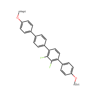 CCCCCCCCOc1ccc(-c2ccc(-c3ccc(-c4ccc(OCCCCCCC)cc4)cc3)c(F)c2F)cc1